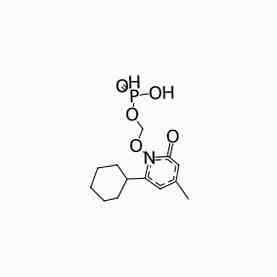 Cc1cc(C2CCCCC2)n(OCO[PH](=O)O)c(=O)c1